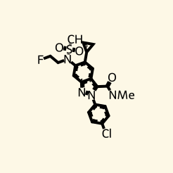 CNC(=O)c1c2cc(C3CC3)c(N(CCF)S(C)(=O)=O)cc2nn1-c1ccc(Cl)cc1